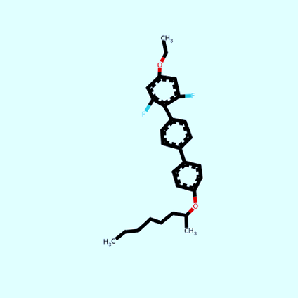 CCCCCCC(C)Oc1ccc(-c2ccc(-c3c(F)cc(OCC)cc3F)cc2)cc1